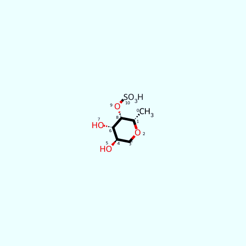 C[C@@H]1O[CH][C@@H](O)[C@H](O)[C@@H]1OS(=O)(=O)O